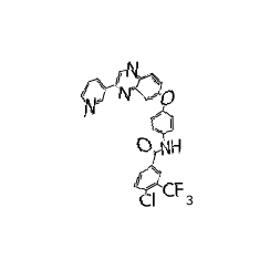 O=C(Nc1ccc(Oc2ccc3ncc(-c4cccnc4)nc3c2)cc1)c1ccc(Cl)c(C(F)(F)F)c1